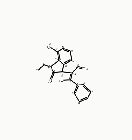 CCN1C(=O)[C@@]2(OC(c3ccccc3)=C2C=O)c2cccc(Cl)c21